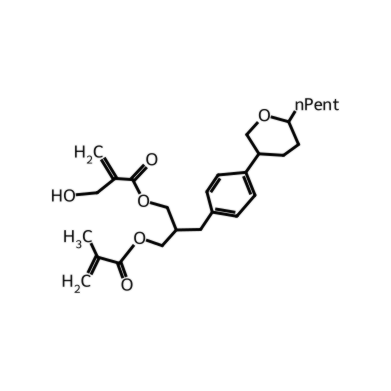 C=C(C)C(=O)OCC(COC(=O)C(=C)CO)Cc1ccc(C2CCC(CCCCC)OC2)cc1